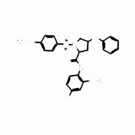 COc1ccc(S(=O)(=O)N2CC(Oc3ccccc3)CC2C(=O)Nc2ccc(F)cc2O)cc1